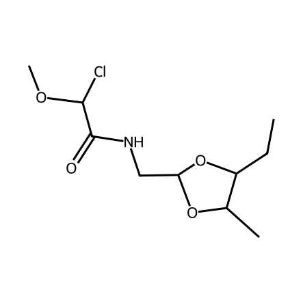 CCC1OC(CNC(=O)C(Cl)OC)OC1C